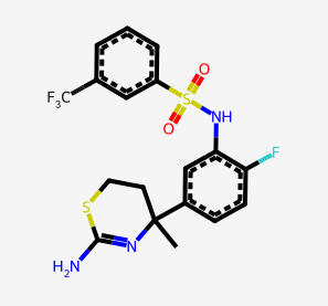 CC1(c2ccc(F)c(NS(=O)(=O)c3cccc(C(F)(F)F)c3)c2)CCSC(N)=N1